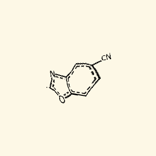 N#Cc1ccc2o[c]nc2c1